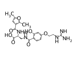 Cc1cc(C(=O)N[C@@H](CNC(=O)c2ccc(OCCNC(=N)N)cc2O)C(=O)O)c(C)o1